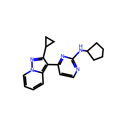 c1ccn2nc(C3CC3)c(-c3ccnc(NC4CCCC4)n3)c2c1